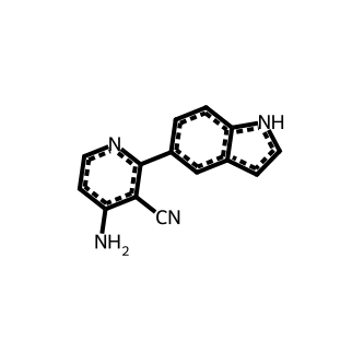 N#Cc1c(N)ccnc1-c1ccc2[nH]ccc2c1